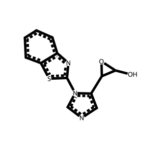 OC1OC1c1cncn1-c1nc2ccccc2s1